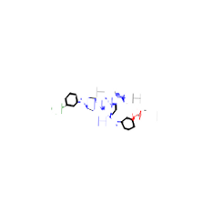 COc1cccc(Nc2cc(N(C)C)nc(N3CCN(c4cccc(Cl)c4)CC3)n2)c1